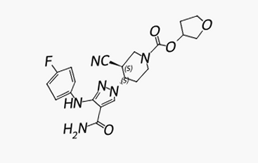 N#C[C@H]1CN(C(=O)OC2CCOC2)CC[C@@H]1n1cc(C(N)=O)c(Nc2ccc(F)cc2)n1